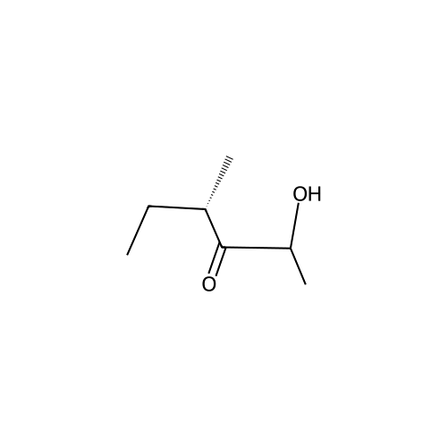 CC[C@H](C)C(=O)C(C)O